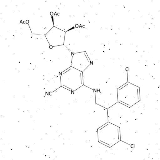 CC(=O)OC[C@H]1O[C@@H](n2cnc3c(NCC(c4cccc(Cl)c4)c4cccc(Cl)c4)nc(C#N)nc32)[C@H](OC(C)=O)[C@@H]1OC(C)=O